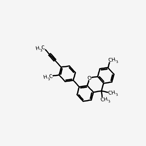 CC#Cc1ccc(-c2cccc3c2Oc2cc(C)ccc2C3(C)C)cc1C